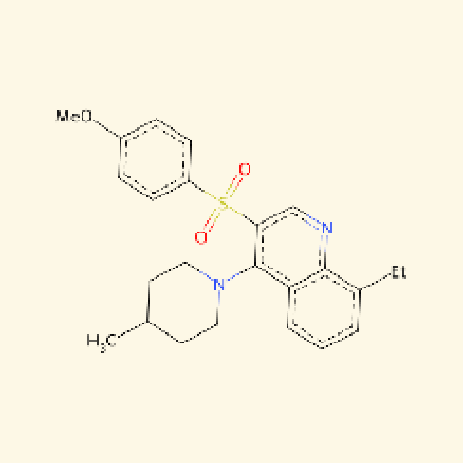 CCc1cccc2c(N3CCC(C)CC3)c(S(=O)(=O)c3ccc(OC)cc3)cnc12